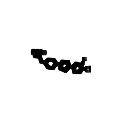 COCCCC1CCC(c2ccc(-c3ccc(Cl)c(F)c3)cc2)CC1